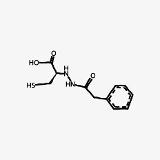 O=C(Cc1ccccc1)NN[C@@H](CS)C(=O)O